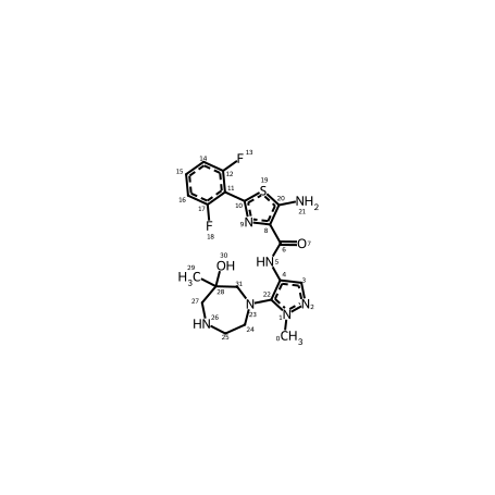 Cn1ncc(NC(=O)c2nc(-c3c(F)cccc3F)sc2N)c1N1CCNCC(C)(O)C1